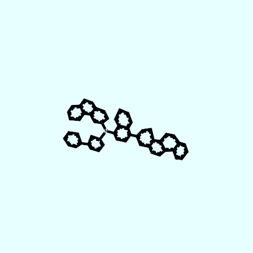 c1ccc(-c2cccc(N(c3ccc4ccc5ccccc5c4c3)c3ccc(-c4ccc5c(ccc6c7ccccc7ccc56)c4)c4ccccc34)c2)cc1